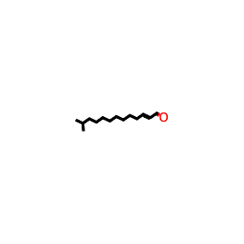 CC(C)CCCCCCCCC=CC=O